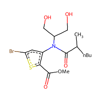 CCCCC(C)C(=O)N(c1cc(Br)sc1C(=O)OC)C(CO)CO